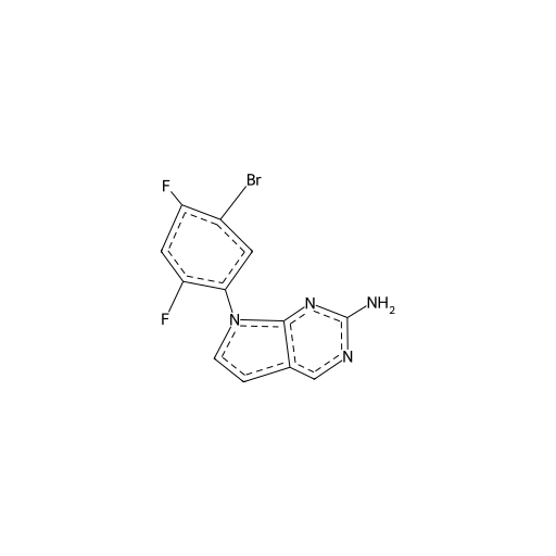 Nc1ncc2ccn(-c3cc(Br)c(F)cc3F)c2n1